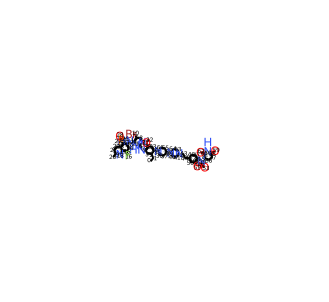 CCc1cc(Nc2ncc(Br)c(Nc3cc(F)c4nc(C)ccc4c3P(C)(C)=O)n2)c(OC)cc1N1CCC(N2CCN(CCc3ccc4c(c3)oc(=O)n4C3CCC(=O)NC3=O)CC2)CC1